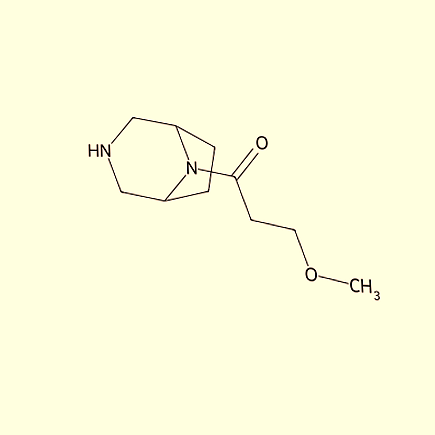 COCCC(=O)N1C2CCC1CNC2